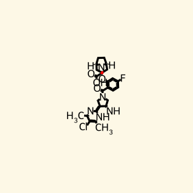 CC1=N/C(=C2\CN(C(=O)c3ccc(F)cc3O[C@H]3C[C@H]4CC[C@@H](C3)N4CC(=O)O)CC2=N)NC(C)=C1Cl